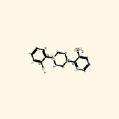 Nc1cccnc1N1CCN(c2ccccc2F)CC1